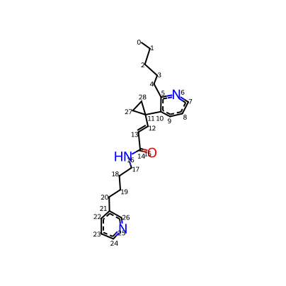 CCCCCc1ncccc1C1(/C=C/C(=O)NCCCCc2cccnc2)CC1